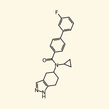 O=C(c1ccc(-c2cccc(F)c2)cc1)N(C1CC1)C1CCc2[nH]ncc2C1